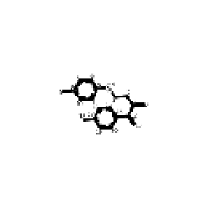 C=C(CCSc1ccc(C)cc1)C(=C)c1ccc(C)cc1